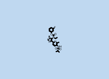 CCN(C(=O)Oc1cccc(F)c1)c1c(-c2ccc(NS(=O)(=O)C(C)C)c(C)n2)nnn1C